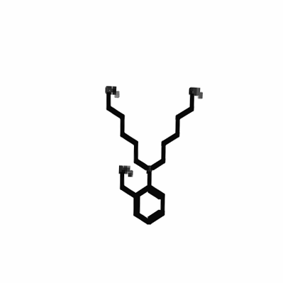 CCCCCCP(CCCCCC)c1ccccc1CN